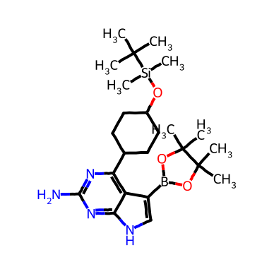 CC1(C)OB(c2c[nH]c3nc(N)nc(C4CCC(O[Si](C)(C)C(C)(C)C)CC4)c23)OC1(C)C